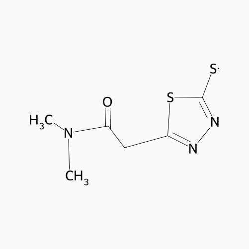 CN(C)C(=O)Cc1nnc([S])s1